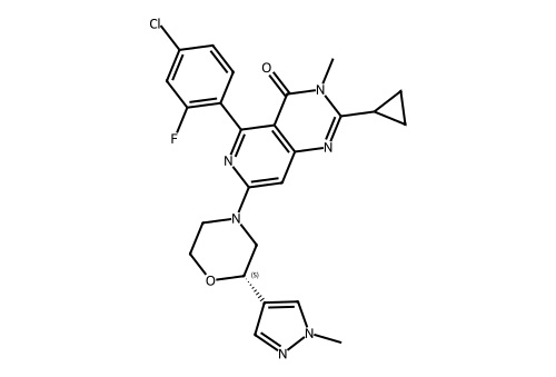 Cn1cc([C@H]2CN(c3cc4nc(C5CC5)n(C)c(=O)c4c(-c4ccc(Cl)cc4F)n3)CCO2)cn1